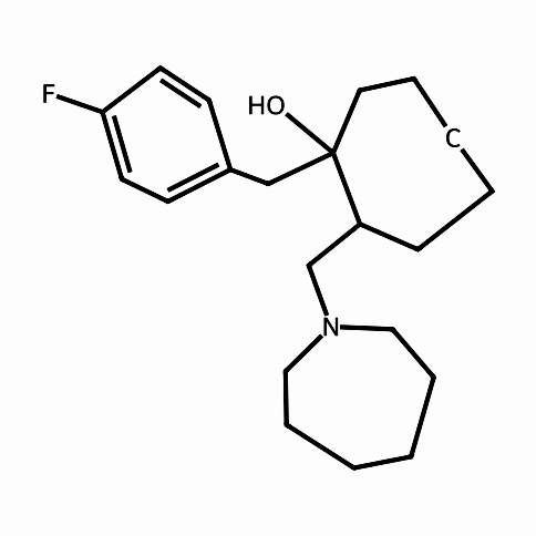 OC1(Cc2ccc(F)cc2)CCCCCC1CN1CCCCCC1